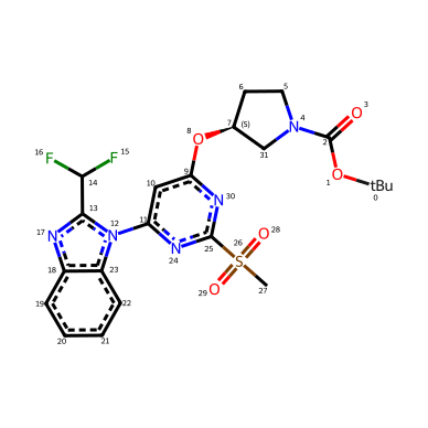 CC(C)(C)OC(=O)N1CC[C@H](Oc2cc(-n3c(C(F)F)nc4ccccc43)nc(S(C)(=O)=O)n2)C1